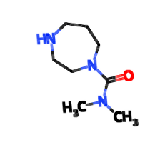 CN(C)C(=O)N1CCCNCC1